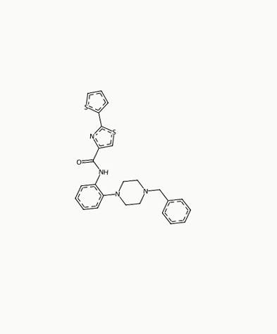 O=C(Nc1ccccc1N1CCN(Cc2ccccc2)CC1)c1csc(-c2cccs2)n1